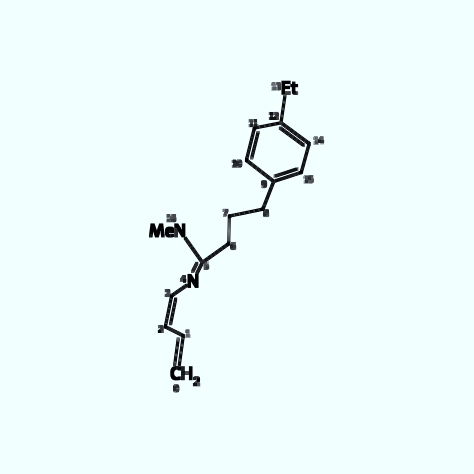 C=C/C=C\N=C(\CCCc1ccc(CC)cc1)NC